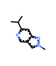 CC(C)c1cc2nn(C)cc2cn1